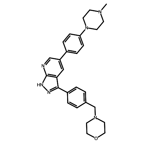 CN1CCN(c2ccc(-c3cnc4[nH]nc(-c5ccc(CN6CCOCC6)cc5)c4c3)cc2)CC1